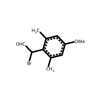 COc1cc(C)c(C(Br)C=O)c(C)c1